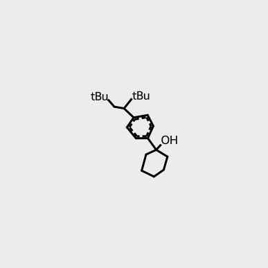 CC(C)(C)CC(c1ccc(C2(O)CCCCC2)cc1)C(C)(C)C